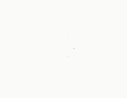 CCC1(c2ccccc2C=O)CCCCC1